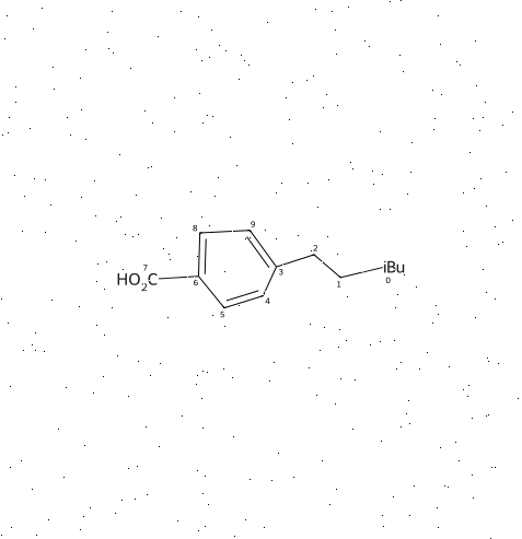 CCC(C)CCc1ccc(C(=O)O)cc1